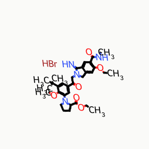 Br.CCOC(=O)C1CCCN1c1cc(C(=O)CN2Cc3cc(OCC)c(C(=O)NC)cc3C2=N)cc(C(C)(C)C)c1OC